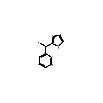 ClC(c1ccccc1)c1cccs1